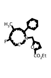 CCOC(=O)c1ccc(Cn2cccc(F)cc(C)cc2-c2ccccc2)o1